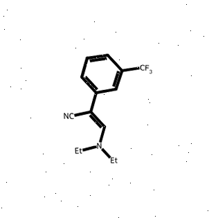 CCN(C=C(C#N)c1cccc(C(F)(F)F)c1)CC